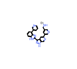 CCNCc1cncc(-c2cc3c(-c4nc5c(-c6cccnc6)cccc5[nH]4)n[nH]c3cn2)c1